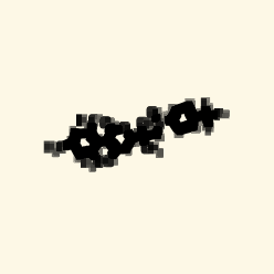 Cc1cc(C)c(C2=C(O)CC(C(C)(C)C[S+]([O-])c3ccc(C(F)(F)F)cc3)OC2=O)c(C)c1